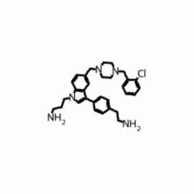 NCCCn1cc(-c2ccc(CCN)cc2)c2cc(CN3CCN(Cc4ccccc4Cl)CC3)ccc21